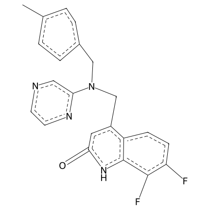 Cc1ccc(CN(Cc2cc(=O)[nH]c3c(F)c(F)ccc23)c2cnccn2)cc1